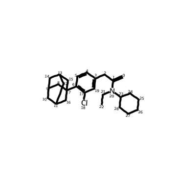 C=C(Cc1ccc(C23CC4CC(CC(C4)C2)C3)c(Cl)c1)N(CC)C1CCCCC1